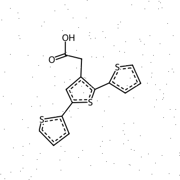 O=C(O)Cc1cc(-c2cccs2)sc1-c1cccs1